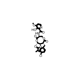 COc1ccnc(C(=O)N[C@H]2COC(=O)[C@H](Cc3ccc(Cl)cc3)[C@@H](OC(=O)C(C)C)[C@H](C)OC2=O)c1O